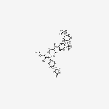 CCOCC(=O)N(c1cnc(-c2cnn(C)c2)cn1)[C@H]1CC[C@H](Nc2ncc(C(F)(F)F)c(-c3cncc(S(C)(=O)=O)c3)n2)CC1